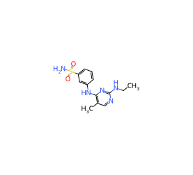 CCNc1ncc(C)c(Nc2cccc(S(N)(=O)=O)c2)n1